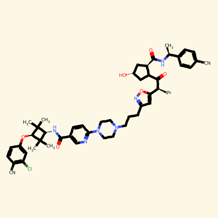 CC(C)[C@H](C(=O)C1C[C@H](O)C[C@H]1C(=O)N[C@@H](C)c1ccc(C#N)cc1)c1cc(CCCN2CCN(c3ccc(C(=O)N[C@H]4C(C)(C)[C@H](Oc5ccc(C#N)c(Cl)c5)C4(C)C)cn3)CC2)no1